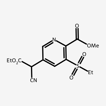 CCOC(=O)C(C#N)c1cnc(C(=O)OC)c(S(=O)(=O)CC)c1